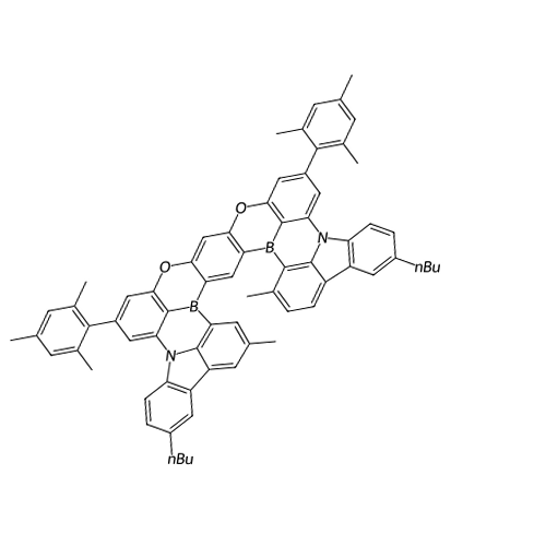 CCCCc1ccc2c(c1)c1cc(C)cc3c1n2-c1cc(-c2c(C)cc(C)cc2C)cc2c1B3c1cc3c(cc1O2)Oc1cc(-c2c(C)cc(C)cc2C)cc2c1B3c1c(C)ccc3c4cc(CCCC)ccc4n-2c13